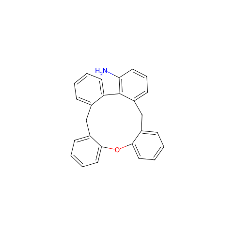 Nc1cccc2c1-c1ccccc1Cc1ccccc1Oc1ccccc1C2